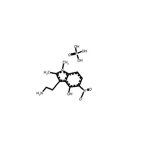 Cc1c(CCN)c2c(O)c([N+](=O)[O-])ccc2n1C.O=P(O)(O)O